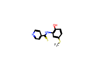 Oc1ccc(SC(F)(F)F)cc1NC(=S)c1ccncc1